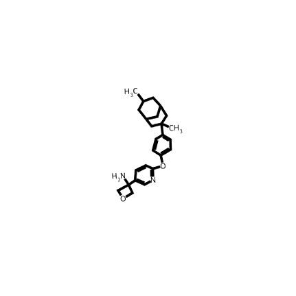 CC1CC2CC(C1)CC(C)(c1ccc(Oc3ccc(C4(N)COC4)cn3)cc1)C2